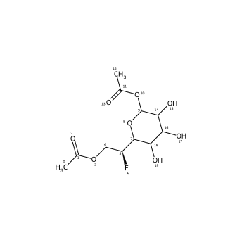 CC(=O)OC[C@H](F)C1OC(OC(C)=O)C(O)C(O)C1O